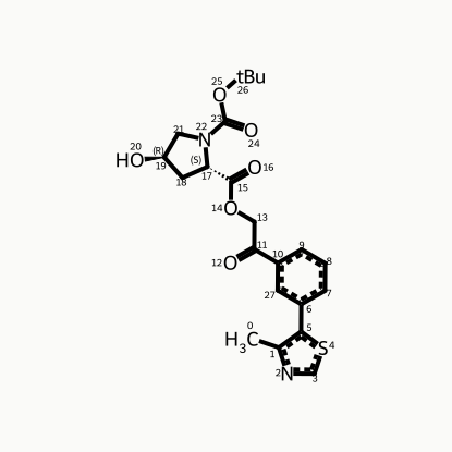 Cc1ncsc1-c1cccc(C(=O)COC(=O)[C@@H]2C[C@@H](O)CN2C(=O)OC(C)(C)C)c1